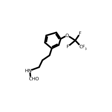 O=CNCCCc1cccc(OC(F)(F)C(F)(F)F)c1